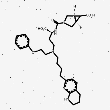 O=C(O)C1[C@H]2CN(C(=O)N[C@@H](CCN(CCCCc3ccc4c(n3)NCCC4)CCOc3ccccc3)C(=O)O)C[C@@H]12